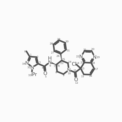 Cc1cc(C(=O)N[C@@H]2CCN(C(=O)C3(Cl)CC=Cc4nccnc43)C[C@@H]2c2ccccc2)n(C(C)C)n1